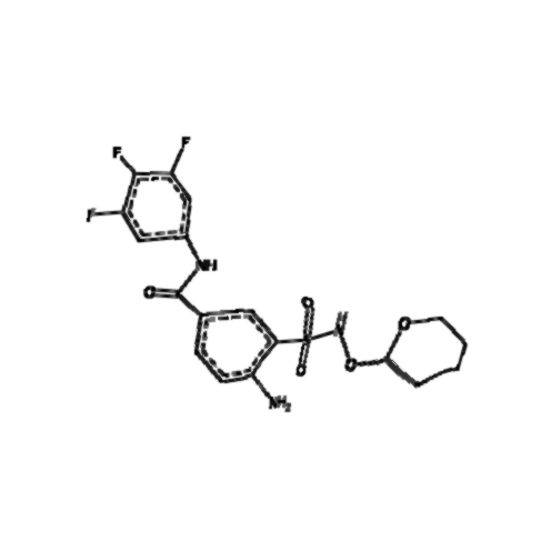 Nc1ccc(C(=O)Nc2cc(F)c(F)c(F)c2)cc1S(=O)(=O)NOC1CCCCO1